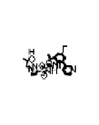 CC(O)Cn1ccc(S(=O)(=O)NC(=O)Nc2c(-c3cccnc3)cc(F)cc2C(C)C)n1